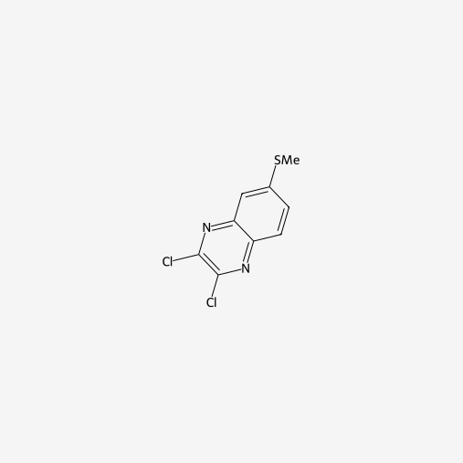 CSc1ccc2nc(Cl)c(Cl)nc2c1